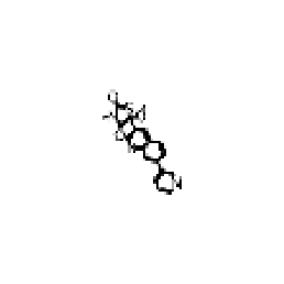 COC1(c2cnc3cc(-c4cccnc4)ccc3c2)SC(=O)N(C)C1=O